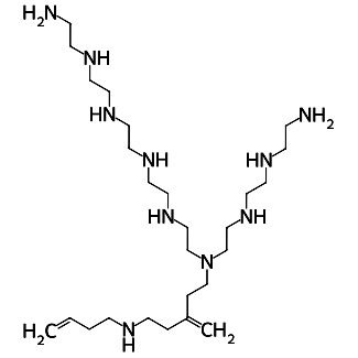 C=CCCNCCC(=C)CCN(CCNCCNCCN)CCNCCNCCNCCNCCN